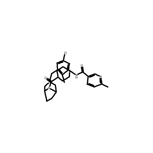 Cc1ccc(C(=O)Nc2cc(Cl)cc(CN3CC4CCC(C3)N4C(=O)C3CCOCC3)c2C)cn1